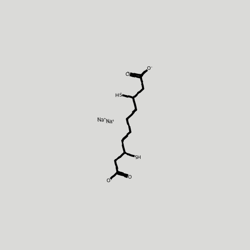 O=C([O-])CC(S)CCCCC(S)CC(=O)[O-].[Na+].[Na+]